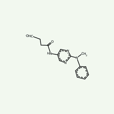 CN(c1ccccc1)c1ncc(NC(=O)CC[C]=O)cn1